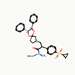 CON(C)C(=O)C(C[C@H]1CCC2(C1)O[C@H](c1ccccc1)[C@@H](c1ccccc1)O2)c1ccc(S(=O)(=O)C2CC2)cc1